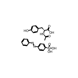 CC(=O)N[C@@H](Cc1ccc(O)cc1)C(=O)O.O=[As](O)(O)c1ccc(N=Nc2ccccc2)cc1